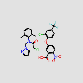 Cc1cccc(C)c1N(Cn1cccn1)C(=O)CCl.O=C(O)c1cc(Oc2ccc(C(F)(F)F)cc2Cl)ccc1[N+](=O)[O-]